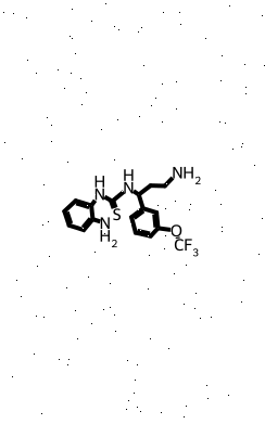 NCCC(NC(=S)Nc1ccccc1N)c1cccc(OC(F)(F)F)c1